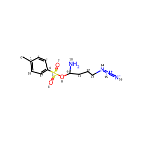 Cc1ccc(S(=O)(=O)OC(N)CCCN=[N+]=[N-])cc1